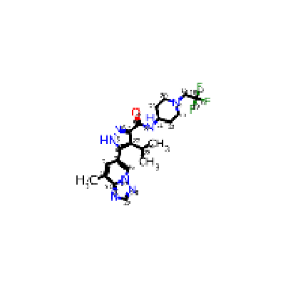 Cc1cc(-c2[nH]nc(C(=O)NC3CCN(CC(F)(F)F)CC3)c2C(C)C)cn2ncnc12